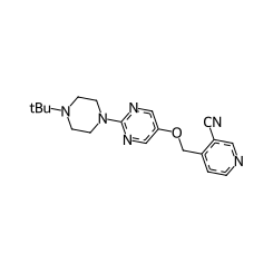 CC(C)(C)N1CCN(c2ncc(OCc3ccncc3C#N)cn2)CC1